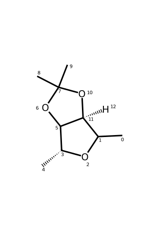 CC1O[C@H](C)C2OC(C)(C)O[C@@H]12